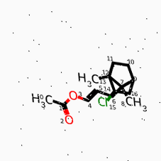 CC(=O)OC=CCC1(C)C2CCC1(C)C(Cl)C2